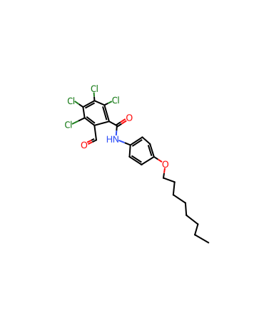 CCCCCCCCOc1ccc(NC(=O)c2c(Cl)c(Cl)c(Cl)c(Cl)c2C=O)cc1